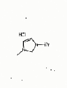 CC(C)N1C=CN(C)C1.Cl